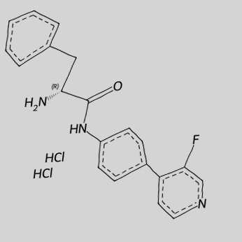 Cl.Cl.N[C@H](Cc1ccccc1)C(=O)Nc1ccc(-c2ccncc2F)cc1